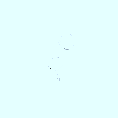 Cc1ccccc1C1CC(N)=NO1